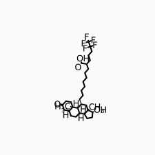 C[C@]12CCC(=O)C[C@@H]1CC[C@@H]1[C@@H]2[C@@H](CCCCCCCCC(CCCC(F)(F)C(F)(F)F)C(=O)O)C[C@]2(C)[C@@H](O)CC[C@@H]12